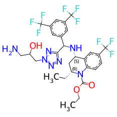 CCOC(=O)N1c2ccc(C(F)(F)F)cc2[C@@H](NC(c2cc(C(F)(F)F)cc(C(F)(F)F)c2)c2nnn(CC(O)CN)n2)C[C@H]1CC